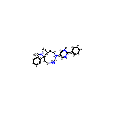 CN(C)[C@@]1(c2ccccc2)CCCN(c2cnc(-c3ccccc3)nc2)CNCC1